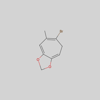 CC1=C(Br)CC=C2OCOC2=C1